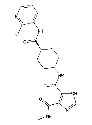 CNC(=O)c1nc[nH]c1C(=O)N[C@H]1CC[C@H](C(=O)Nc2cccnc2Cl)CC1